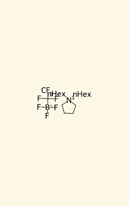 CCCCCC[N+]1(CCCCCC)CCCC1.F[B-](F)(F)C(F)(F)C(F)(F)F